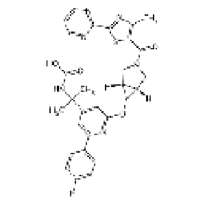 Cc1nc(-c2ncccn2)sc1C(=O)N1C[C@@H]2C(Oc3cc(C(C)(C)NC(=O)O)cc(-c4ccc(F)cc4)n3)[C@@H]2C1